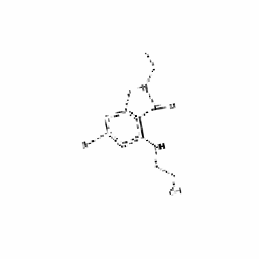 CCN1Cc2cc(Br)cc(NCCO)c2C1=O